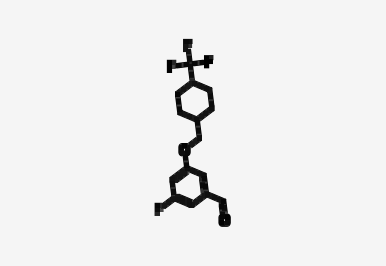 O=Cc1cc(F)cc(OCC2CCC(C(F)(F)F)CC2)c1